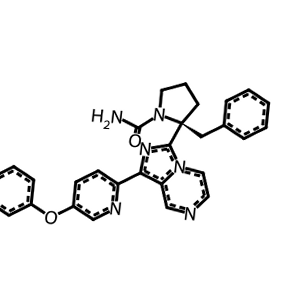 NC(=O)N1CCC[C@]1(Cc1ccccc1)c1nc(-c2ccc(Oc3ccccc3)cn2)c2cnccn12